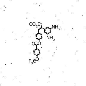 CCOC(=O)C(=Cc1ccc(OC(=O)c2ccc(OC(F)(F)F)cc2)cc1)c1cc(N)cc(N)c1